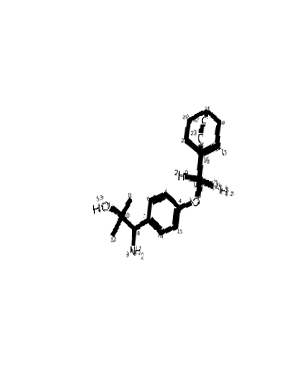 [2H]C([2H])(Oc1ccc(C(N)C(C)(C)O)cc1)C12CCC(CC1)CC2